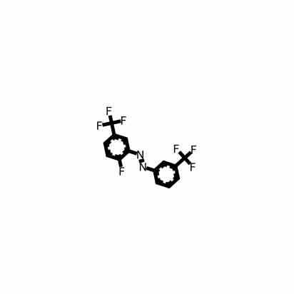 Fc1ccc(C(F)(F)F)cc1/N=N/c1cccc(C(F)(F)F)c1